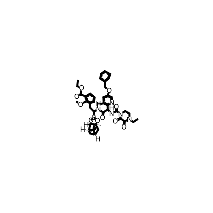 CCOC(=O)c1cccc(CC(NC(=O)C(NC(=O)N2CCN(CC)C(=O)C2=O)c2ncc(OCc3ccccc3)cc2F)B2O[C@@H]3[C@@H]4C[C@H](C[C@]3(C)O2)C4(C)C)c1OC